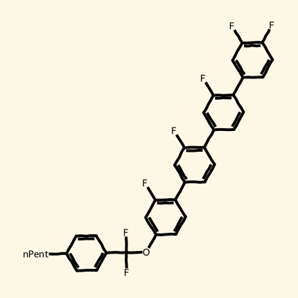 CCCCCc1ccc(C(F)(F)Oc2ccc(-c3ccc(-c4ccc(-c5ccc(F)c(F)c5)c(F)c4)c(F)c3)c(F)c2)cc1